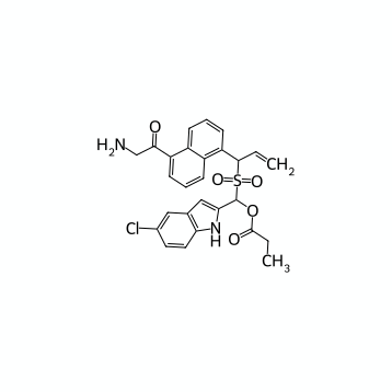 C=CC(c1cccc2c(C(=O)CN)cccc12)S(=O)(=O)C(OC(=O)CC)c1cc2cc(Cl)ccc2[nH]1